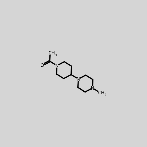 CC(=O)N1CCC(N2CCN(C)CC2)CC1